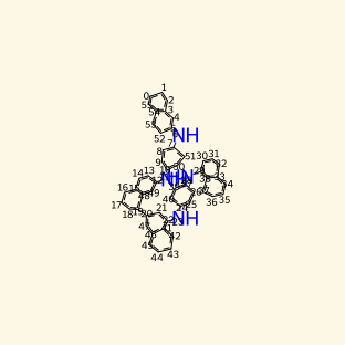 c1ccc2cc(Nc3ccc(Nc4ccc5cccc(-c6cc(Nc7ccc(Nc8cccc9ccccc89)cc7)c7ccccc7c6)c5c4)cc3)ccc2c1